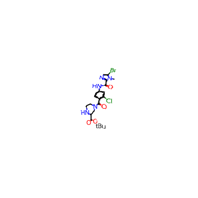 Cn1c(Br)cnc1C(=O)Nc1ccc(C(=O)N2CCNC(C(=O)OC(C)(C)C)C2)c(Cl)c1